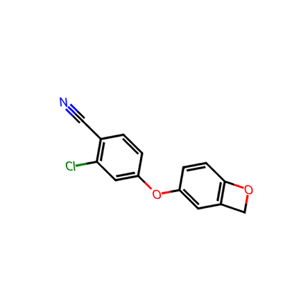 N#Cc1ccc(Oc2ccc3c(c2)CO3)cc1Cl